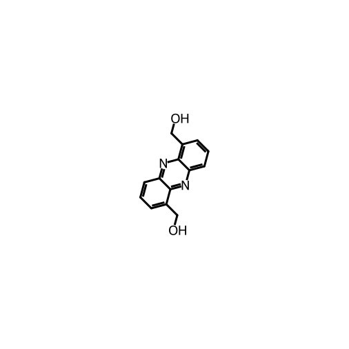 OCc1cccc2nc3c(CO)cccc3nc12